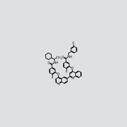 C[C@@H](NC(=O)c1ccc(F)c(Oc2ccnc3ccc(-c4cc(Oc5cc(C(=O)NCc6cccc(F)c6)ccc5F)c5ccccc5n4)cc23)c1)C1CCCCC1